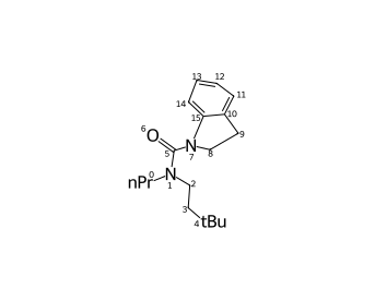 CCCN(CCC(C)(C)C)C(=O)N1CCc2ccccc21